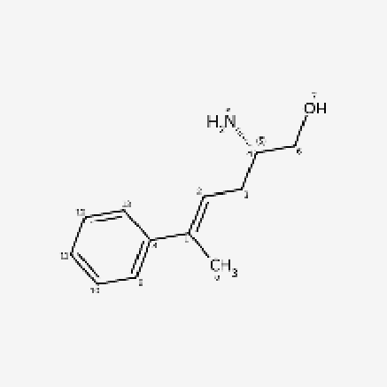 CC(=CC[C@H](N)CO)c1ccccc1